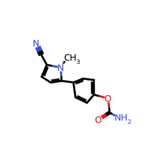 Cn1c(C#N)ccc1-c1ccc(OC(N)=O)cc1